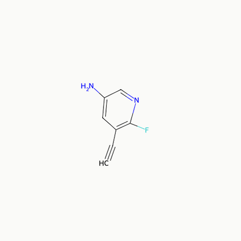 C#Cc1cc(N)cnc1F